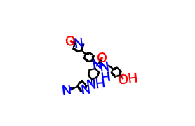 Cn1cc(-c2ccc(N(C(=O)NCc3ccc(O)cc3)[C@H]3CC[C@H](Nc4ccc(C#N)cn4)CC3)cc2)ccc1=O